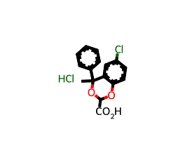 CC1(c2ccccc2)OC(C(=O)O)Oc2ccc(Cl)cc21.Cl